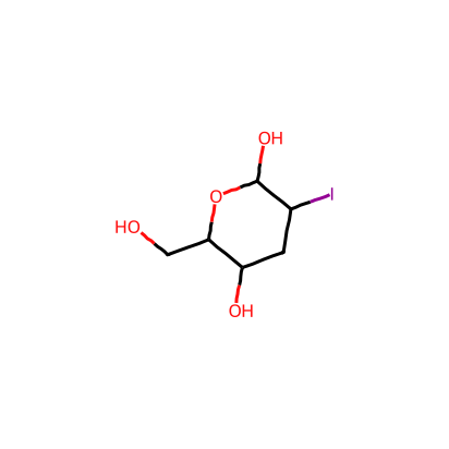 OCC1OC(O)C(I)CC1O